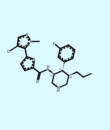 CCC[C@H]1CNC[C@@H](NC(=O)c2ccc(-c3c(Cl)cnn3C)s2)[C@@H]1c1cccc(F)c1